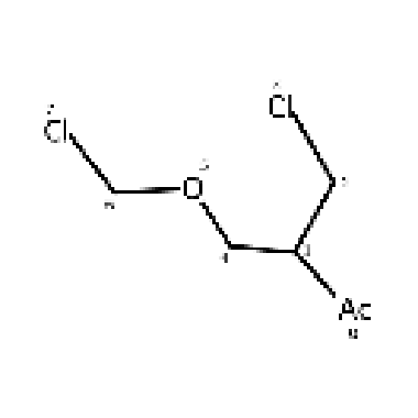 CC(=O)C(CCl)COCCl